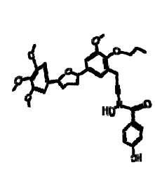 CCCOc1c(CC#CN(O)C(=O)c2ccc(O)cc2)cc(C2CCC(c3cc(OC)c(OC)c(OC)c3)O2)cc1OC